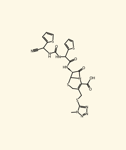 Cn1nnnc1SCC1=C(C(=O)O)N2C(=O)[C@H](NC(=O)C(NC(=O)NC(C#N)c3cccs3)c3cccs3)C2SC1